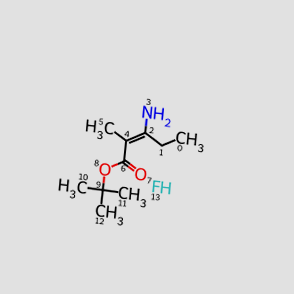 CCC(N)=C(C)C(=O)OC(C)(C)C.F